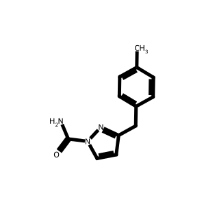 Cc1ccc(Cc2ccn(C(N)=O)n2)cc1